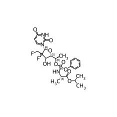 CC(C)OC(=O)[C@H](C)N[P@](=O)(Oc1ccccc1)O[C@H](C)[C@H]1O[C@@H](n2ccc(=O)[nH]c2=O)[C@@](F)(CF)C1O